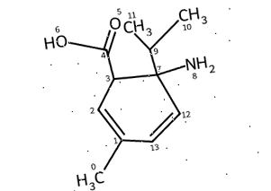 CC1=CC(C(=O)O)C(N)(C(C)C)C=C1